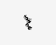 CC(=O)c1c(C)cc([C@H]2CCO[C@@H](c3ccnc(C)c3)C2)nc1-c1ccc(C(C)(F)F)nc1